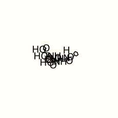 O=C(O)CC[C@H](NC(=O)N[C@@H](NC(=O)CCCNC(=O)OCc1ccccc1)C(=O)O)C(=O)O